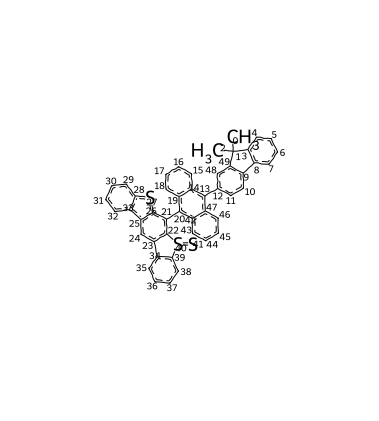 CC1(C)c2ccccc2-c2ccc(-c3c4ccccc4c(-c4c5c(cc6c4sc4ccccc46)-c4ccccc4S5=S)c4ccccc34)cc21